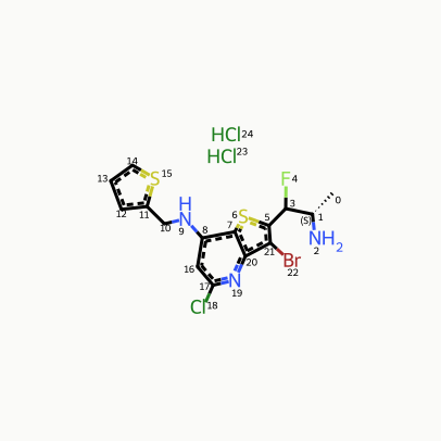 C[C@H](N)C(F)c1sc2c(NCc3cccs3)cc(Cl)nc2c1Br.Cl.Cl